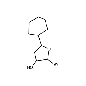 CCCC1OC(C2CCCCC2)CC1O